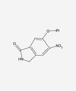 CC(C)Oc1cc2c(cc1[N+](=O)[O-])CNC2=O